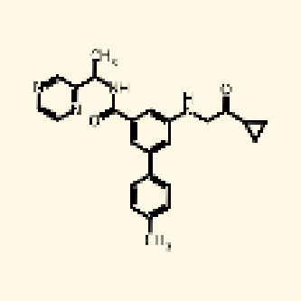 Cc1ccc(-c2cc(NCC(=O)C3CC3)cc(C(=O)NC(C)c3cnccn3)c2)cc1